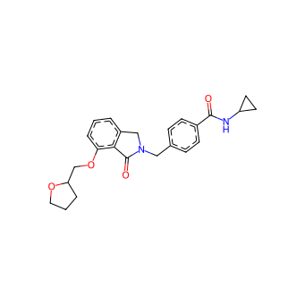 O=C(NC1CC1)c1ccc(CN2Cc3cccc(OCC4CCCO4)c3C2=O)cc1